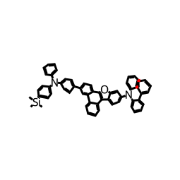 C[Si](C)(C)c1ccc(N(c2ccccc2)c2ccc(-c3ccc4c(c3)c3ccccc3c3c5ccc(N(c6ccccc6)c6ccccc6-c6ccccc6)cc5oc43)cc2)cc1